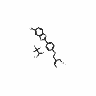 NC/C(=C\F)COc1ccc(-c2nc3ccc(Cl)cc3s2)cc1.O=C(O)C(F)(F)F